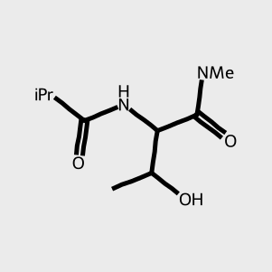 CNC(=O)C(NC(=O)C(C)C)C(C)O